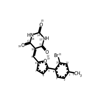 Cc1ccc(-c2ccc(C=C3C(=O)NC(=O)NC3=O)o2)c(Br)c1